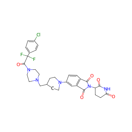 O=C1CCC(N2C(=O)c3ccc(N4CCC(CN5CCN(C(=O)C(F)(F)c6ccc(Cl)cc6)CC5)CC4)cc3C2=O)C(=O)N1